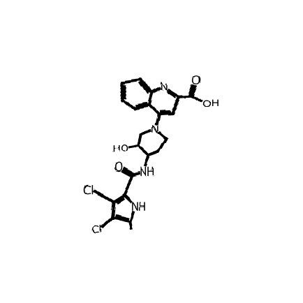 Cc1[nH]c(C(=O)NC2CCN(c3cc(C(=O)O)nc4ccccc34)CC2O)c(Cl)c1Cl